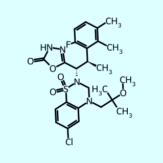 COC(C)(C)CN1CN([C@H](c2n[nH]c(=O)o2)[C@H](C)c2c(F)ccc(C)c2C)S(=O)(=O)c2ccc(Cl)cc21